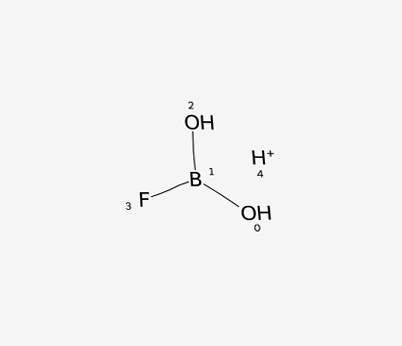 OB(O)F.[H+]